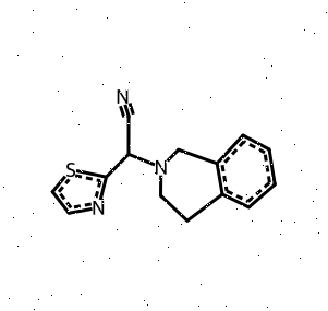 N#CC(c1nccs1)N1CCc2ccccc2C1